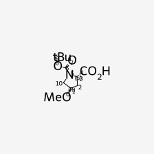 CO[C@@H]1C[C@@H](C(=O)O)N(C(=O)OC(C)(C)C)C1